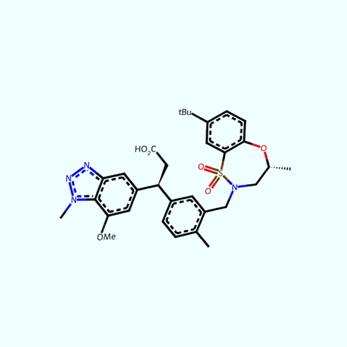 COc1cc([C@@H](CC(=O)O)c2ccc(C)c(CN3C[C@@H](C)Oc4ccc(C(C)(C)C)cc4S3(=O)=O)c2)cc2nnn(C)c12